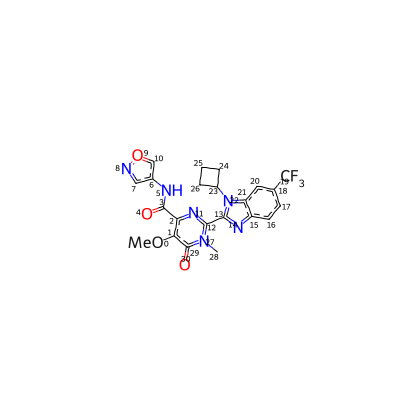 COc1c(C(=O)Nc2cnoc2)nc(-c2nc3ccc(C(F)(F)F)cc3n2C2CCC2)n(C)c1=O